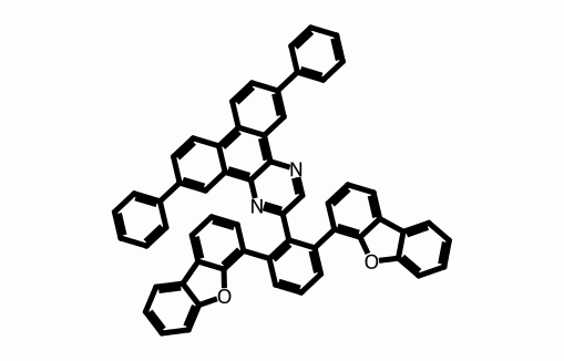 c1ccc(-c2ccc3c4ccc(-c5ccccc5)cc4c4nc(-c5c(-c6cccc7c6oc6ccccc67)cccc5-c5cccc6c5oc5ccccc56)cnc4c3c2)cc1